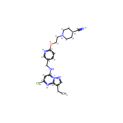 CCc1cnn2c(NCc3ccc(OCCN4CCB(C#N)CC4)nc3)cc(Cl)nc12